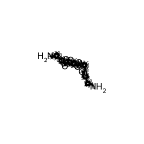 NCc1cccc(C2CCN(C(=O)Cc3cccc(B4Oc5cc6cc(C(=O)N7CCC(c8cccc(CN)c8)CC7)c(=O)oc6cc5O4)c3)CC2)c1